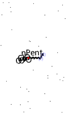 CCCCC/C=C\C/C=C\CCCCCCCC(=O)Oc1ccc(OC(=O)Cl)cc1